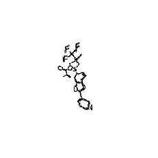 C=C(C)C(=O)OCC(C)(CSc1ccc2cc(-c3cccnc3)oc2c1)C(F)(F)F